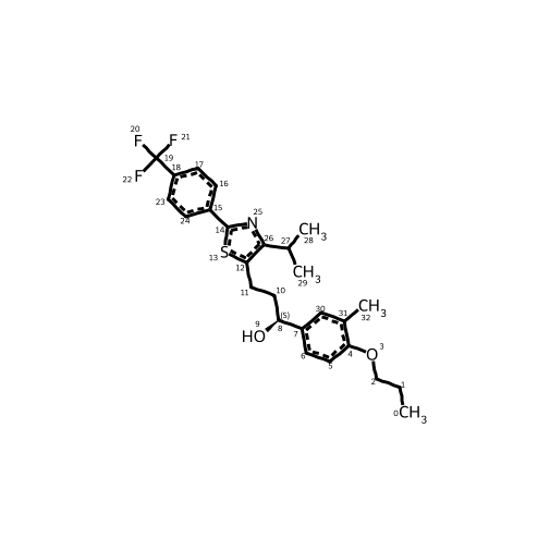 CCCOc1ccc([C@@H](O)CCc2sc(-c3ccc(C(F)(F)F)cc3)nc2C(C)C)cc1C